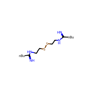 CCCCC(=N)NCCSSCCNC(=N)CCCC